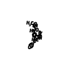 Cc1cc(C(=O)Nc2ccc(OCCN3CCOCC3)c(-c3c(Br)cnn3C)c2)no1